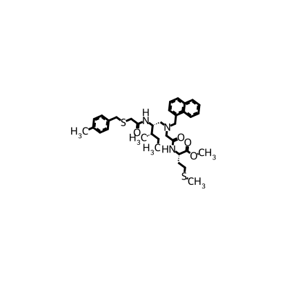 CC[C@H](C)[C@@H](CN(CC(=O)N[C@@H](CCSC)C(=O)OC)Cc1cccc2ccccc12)NC(=O)CSCc1ccc(C)cc1